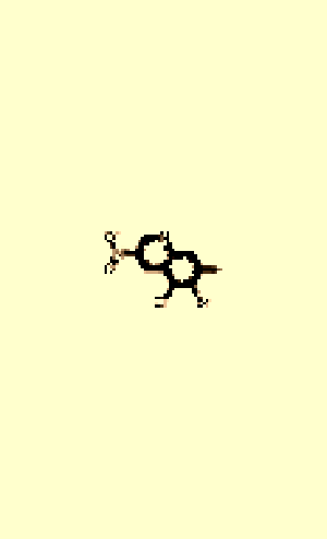 O=[N+]([O-])c1cnc2cc(F)c(Br)c(Cl)c2c1